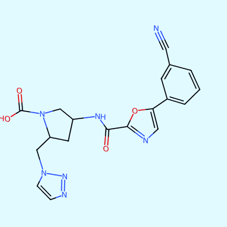 N#Cc1cccc(-c2cnc(C(=O)NC3CC(Cn4ccnn4)N(C(=O)O)C3)o2)c1